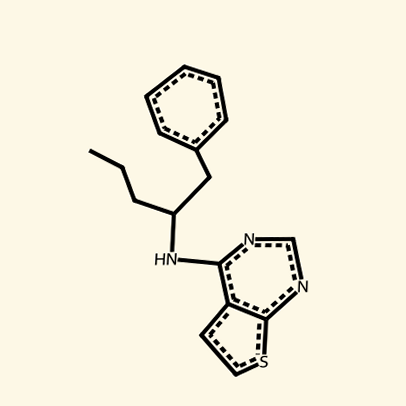 CCCC(Cc1ccccc1)Nc1ncnc2sccc12